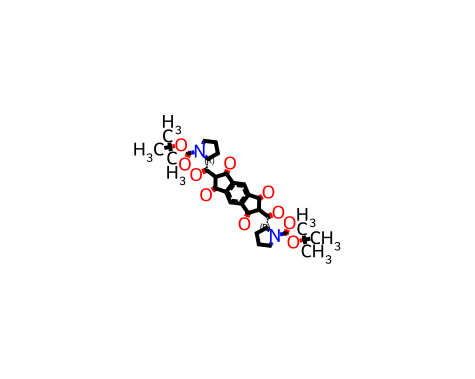 CC(C)(C)OC(=O)N1CCC[C@@H]1C(=O)C1C(=O)c2cc3c(cc2C1=O)C(=O)C(C(=O)[C@H]1CCCN1C(=O)OC(C)(C)C)C3=O